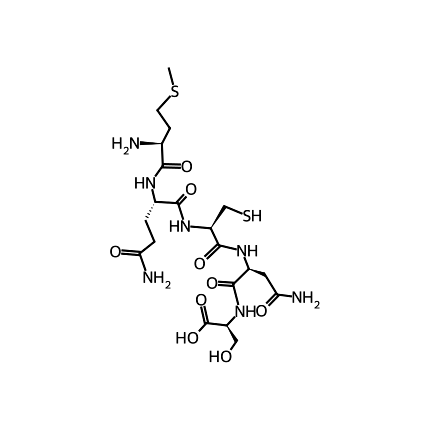 CSCC[C@H](N)C(=O)N[C@@H](CCC(N)=O)C(=O)N[C@@H](CS)C(=O)N[C@@H](CC(N)=O)C(=O)N[C@@H](CO)C(=O)O